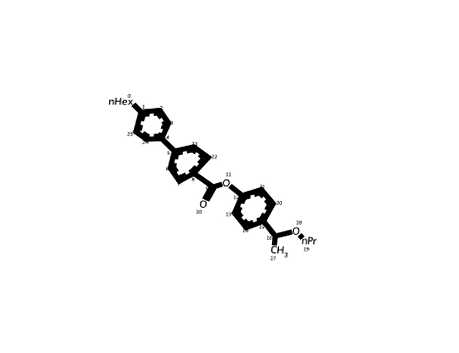 CCCCCCc1ccc(-c2ccc(C(=O)Oc3ccc(C(C)OCCC)cc3)cc2)cc1